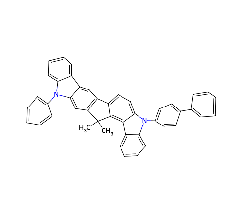 CC1(C)c2cc3c(cc2-c2ccc4c(c21)c1ccccc1n4-c1ccc(-c2ccccc2)cc1)c1ccccc1n3-c1ccccc1